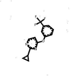 FC(F)(F)c1cccc(Oc2ccnc(C3CC3)n2)c1